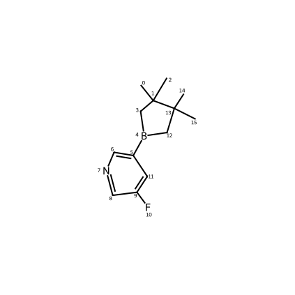 CC1(C)CB(c2cncc(F)c2)CC1(C)C